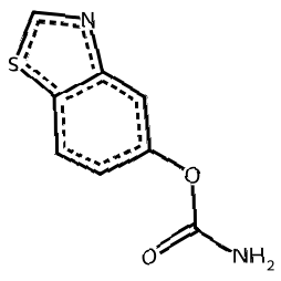 NC(=O)Oc1ccc2scnc2c1